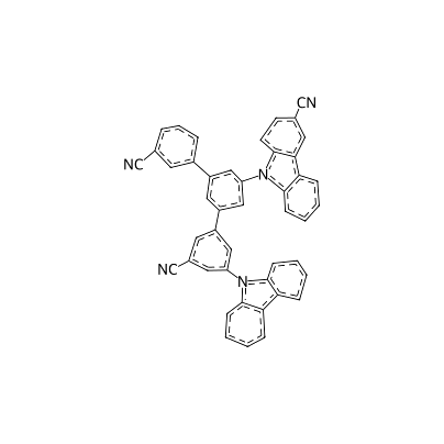 N#Cc1cccc(-c2cc(-c3cc(C#N)cc(-n4c5ccccc5c5ccccc54)c3)cc(-n3c4ccccc4c4cc(C#N)ccc43)c2)c1